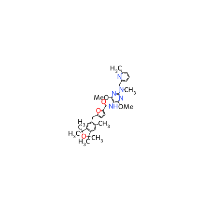 COc1nc(N(C)Cc2cccc(C)n2)nc(OC)c1NC(=O)c1ccc(Cc2cc3c(cc2C)C(C)(C)OC3(C)C)o1